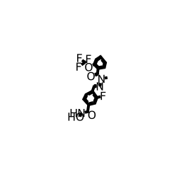 CN(/N=C/c1ccc(C(=O)NO)cc1F)C(=O)c1ccccc1OC(F)(F)F